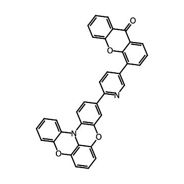 O=c1c2ccccc2oc2c(-c3ccc(-c4ccc5c(c4)Oc4cccc6c4N5c4ccccc4O6)nc3)cccc12